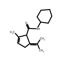 CC1=CCC(=C(C)C)C1C(=O)NC1CCCCC1